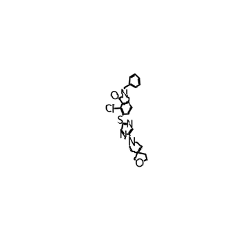 O=C1c2c(ccc(Sc3cnc(N4CCC5(CCOC5)CC4)cn3)c2Cl)CN1Cc1ccccc1